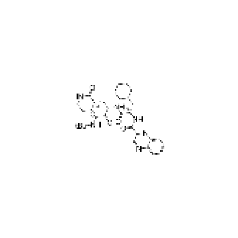 CC(C)(C)NC(=O)C(=O)C(C[C@@H]1CCCNC1=O)NC(=O)[C@H](CC1CCCCC1)NC(=O)c1cnc2ccccc2n1